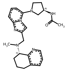 CC(=O)N[C@@H]1CCN(c2cccc3nc(CN(C)[C@H]4CCCc5cccnc54)cn23)C1